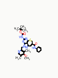 COc1c(C)cnc(Cn2nc3c4c(nc(NC(=O)OC(C)(C)C)nc42)SCC(C(=O)Nc2ccccc2)=C3)c1C